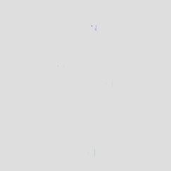 CN(C)CC1COC(COc2ccc(Cl)cc2)C1.Cl